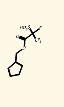 O=C(OCC1CCCC1)C(F)(C(F)(F)F)S(=O)(=O)O